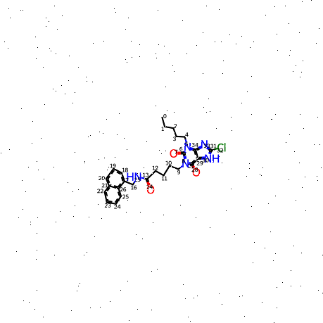 CCCCCn1c(=O)n(CCCCC(=O)NCc2cccc3ccccc23)c(=O)c2[nH]c(Cl)nc21